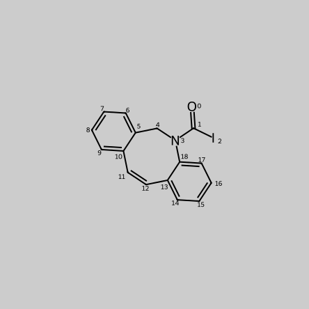 O=C(I)N1Cc2ccccc2/C=C\c2ccccc21